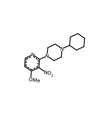 COc1ccnc(N2CCN(C3CCCCC3)CC2)c1[N+](=O)[O-]